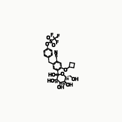 N#Cc1cc(OC2CCC2)c([C@]2(O)O[C@H](CO)[C@@H](O)[C@H](O)[C@H]2O)cc1Cc1ccc(OS(=O)(=O)C(F)(F)F)cc1